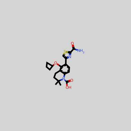 CC1(C)CCc2c(ccc(-c3csc(C(N)=O)n3)c2OC2CCC2)N1C(=O)O